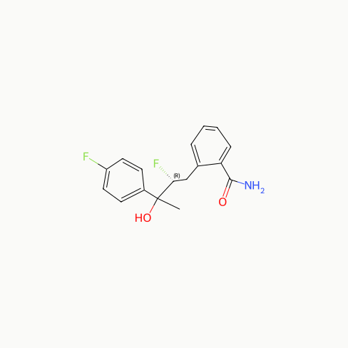 CC(O)(c1ccc(F)cc1)[C@H](F)Cc1ccccc1C(N)=O